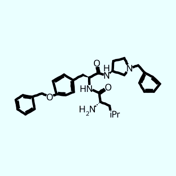 CC(C)C[C@H](N)C(=O)N[C@@H](Cc1ccc(OCc2ccccc2)cc1)C(=O)N[C@H]1CCN(Cc2ccccc2)C1